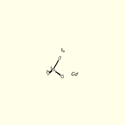 [Cl][Sm]([Cl])[Cl].[Eu].[Gd]